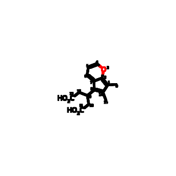 Cc1c2occcc-2c(C(CC(=O)O)CC(=O)O)c1C